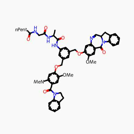 CCCCCC(=O)NCC(=O)NC(C)C(=O)Nc1cc(COc2cc3c(cc2OC)C(=O)N2c4ccccc4CC2C=N3)cc(COc2cc(NC)c(C(=O)N3CCc4ccccc43)cc2OC)c1